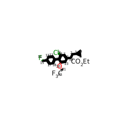 CCOC(=O)C(CC1CC1)c1cc(Cl)c(-c2ccc(CF)cc2)c(OCC(F)(F)F)c1